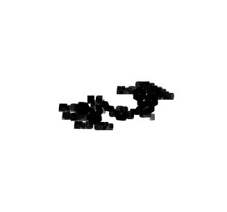 COc1ccc(C(C)c2c(CCN(C)CCCOC(=O)/C=C\C(=O)OCCC[N+]3(C)CCc4cc(OC)c(OC)cc4C3Cc3cc(OC)c(OC)c(OC)c3)cc(OC)c(OC)c2OC)cc1OC